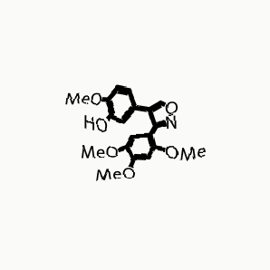 COc1ccc(-c2conc2-c2cc(OC)c(OC)cc2OC)cc1O